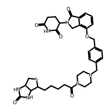 O=C1CCC(N2Cc3c(OCc4ccc(CN5CCN(C(=O)CCCCC6SCC7NC(=O)NC76)CC5)cc4)cccc3C2=O)C(=O)N1